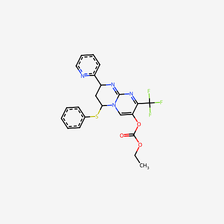 CCOC(=O)OC1=CN2C(=NC(c3ccccn3)CC2Sc2ccccc2)N=C1C(F)(F)F